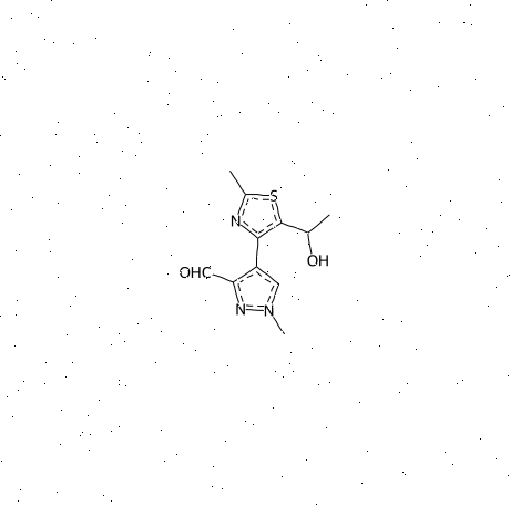 Cc1nc(-c2cn(C)nc2C=O)c(C(C)O)s1